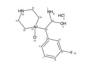 Cl.NC(O)C(c1cccc(F)c1)[N+]1([O-])CCNCC1